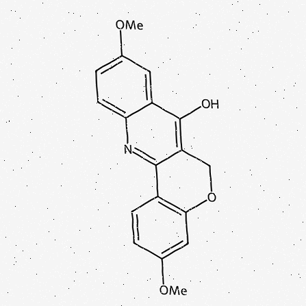 COc1ccc2c(c1)OCc1c-2nc2ccc(OC)cc2c1O